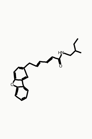 CCC(C)CNC(=O)/C=C/C=C/Cc1ccc2oc3ccccc3c2c1